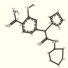 CSc1cc(C(C(=O)NC2CCCCC2)c2cccs2)ccc1C(N)=O